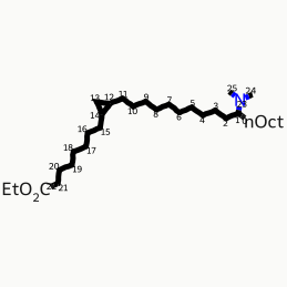 CCCCCCCCC(CCCCCCCCCCC1CC1CCCCCCCC(=O)OCC)N(C)C